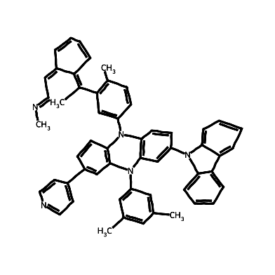 C/N=C/C=c1/cccc/c1=C(/C)c1cc(N2c3ccc(-c4ccncc4)cc3N(c3cc(C)cc(C)c3)c3cc(-n4c5ccccc5c5ccccc54)ccc32)ccc1C